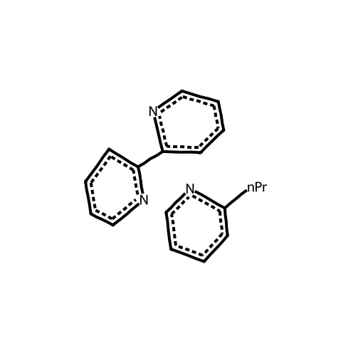 CCCc1ccccn1.c1ccc(-c2ccccn2)nc1